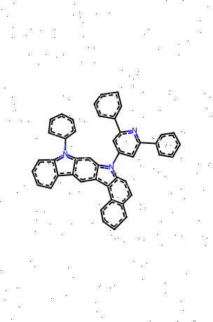 c1ccc(-c2cc(-n3c4cc5c(cc4c4c6ccccc6ccc43)c3ccccc3n5-c3ccccc3)cc(-c3ccccc3)n2)cc1